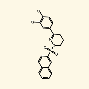 O=S(=O)(c1ccc2ccccc2c1)N1CCCC(c2ccc(Cl)c(Cl)c2)=N1